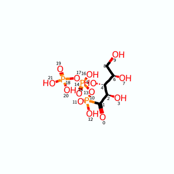 O=C([C@H](O)[C@H](O)[C@H](O)CO)P(=O)(O)OP(=O)(O)OP(=O)(O)O